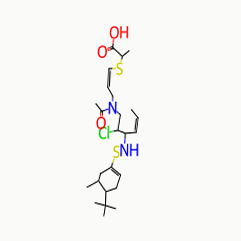 C/C=C\C(NSC1=CCC(C(C)(C)C)C(C)C1)C(Cl)CN(C/C=C\SC(C)C(=O)O)C(C)=O